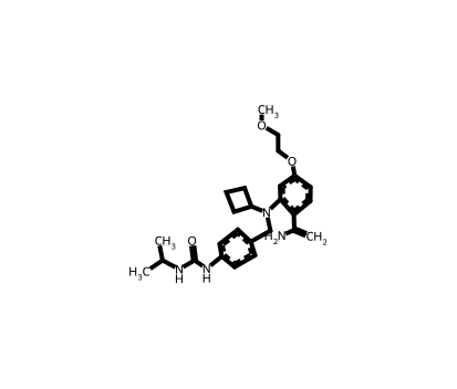 C=C(N)c1ccc(OCCOC)cc1N(Cc1ccc(NC(=O)NC(C)C)cc1)C1CCC1